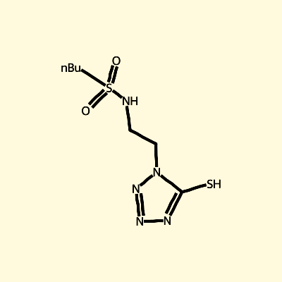 CCCCS(=O)(=O)NCCn1nnnc1S